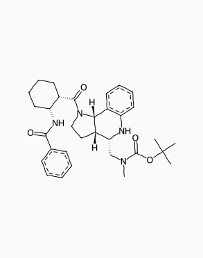 CN(C[C@H]1Nc2ccccc2[C@@H]2[C@H]1CCN2C(=O)[C@H]1CCCC[C@H]1NC(=O)c1ccccc1)C(=O)OC(C)(C)C